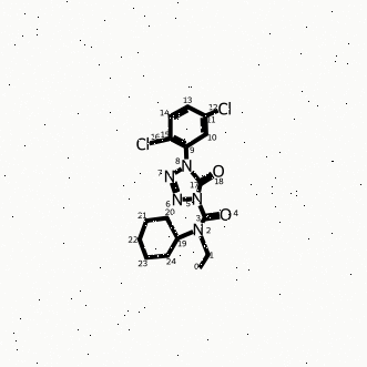 CCN(C(=O)n1nnn(-c2cc(Cl)ccc2Cl)c1=O)C1CCCCC1